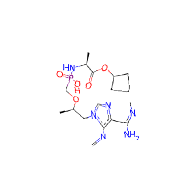 C=Nc1c(/C(N)=N\C)ncn1C[C@@H](C)OCP(=O)(O)N[C@@H](C)C(=O)OC1CCC1